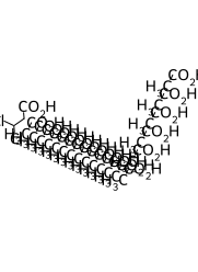 CC(=O)O.CC(=O)O.CC(=O)O.CC(=O)O.CC(=O)O.CC(=O)O.CC(=O)O.CC(=O)O.CC(=O)O.CC(=O)O.CC(=O)O.CC(=O)O.CC(=O)O.CC(=O)O.CC(=O)O.CC(=O)O.CC(=O)O.CC(=O)O.CC(=O)O.O=C(O)CC(Cl)Cl